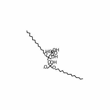 CCCCCCCCCCCCCCOCC(CO)(COC)COCC(CO)(COCCCCCCCCCCCCCC)COP(=O)(O)O